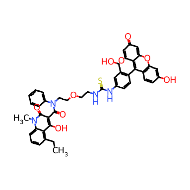 CCc1cccc2c1c(O)c(C(=O)N(CCOCCNC(=S)Nc1ccc(-c3c4ccc(=O)cc-4oc4cc(O)ccc34)c(C(=O)O)c1)c1ccccc1)c(=O)n2C